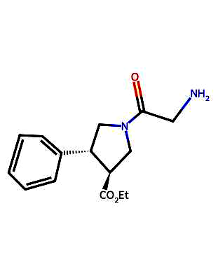 CCOC(=O)[C@@H]1CN(C(=O)CN)C[C@H]1c1ccccc1